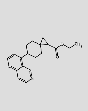 CCOC(=O)C1CC12CCC(c1ccnc3ccncc13)CC2